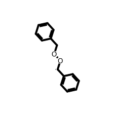 [CH](OOCc1ccccc1)c1ccccc1